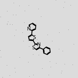 c1ccc(-c2csc(-c3ccc(-c4ccccn4)s3)n2)cc1